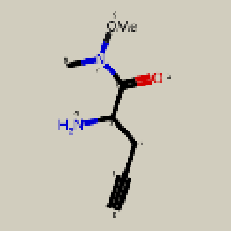 C#CCC(N)C(=O)N(C)OC